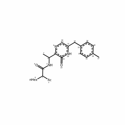 CCCCCCC(C(C)=O)C(=O)NC(C)c1nnc(Cc2ccc(C)cc2)[nH]c1=O